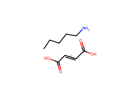 CCCCCN.O=C(O)/C=C/C(=O)O